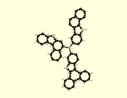 c1ccc2c(c1)ccc1c3cc(N(c4ccc5c(c4)sc4c6ccccc6c6ccccc6c54)c4cc5sc6ccccc6c5c5ccccc45)ccc3oc21